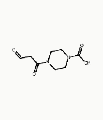 O=CCC(=O)N1CCN(C(=O)O)CC1